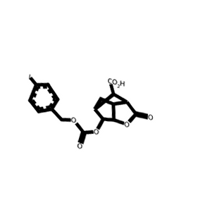 O=C(OCc1ccc(I)cc1)OC1C2CC3C1OC(=O)C3C2C(=O)O